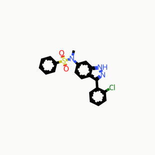 CN(c1ccc2c(-c3ccccc3Cl)n[nH]c2c1)S(=O)(=O)c1ccccc1